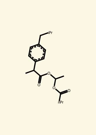 CCCC(=O)OC(C)OC(=O)C(C)c1ccc(CC(C)C)cc1